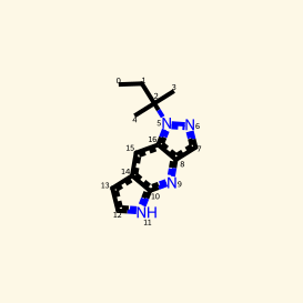 CCC(C)(C)n1ncc2nc3[nH]ccc3cc21